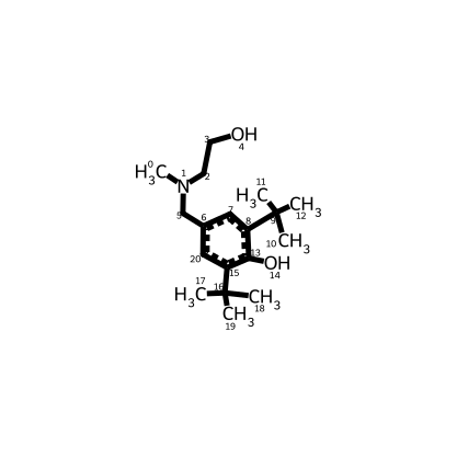 CN(CCO)Cc1cc(C(C)(C)C)c(O)c(C(C)(C)C)c1